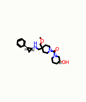 COCC1(CN[C@@H]2C[C@H]2c2ccccc2)CCN(C(=O)N2CCC[C@@H](O)C2)CC1